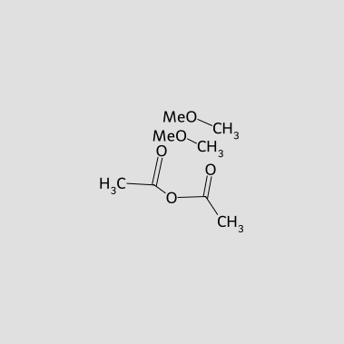 CC(=O)OC(C)=O.COC.COC